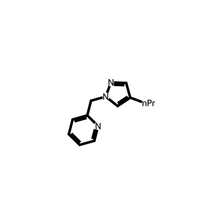 CCCc1cnn(Cc2ccccn2)c1